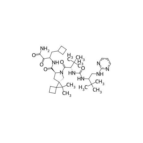 CC(C)(C)C(CNc1ncccn1)NC(=O)N[C@H](C(=O)N1C[C@]2(C[C@H]1C(=O)NC(CC1CCC1)C(=O)C(N)=O)C(C)(C)C21CCC1)C(C)(C)C